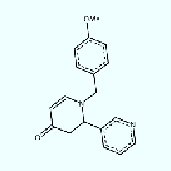 COc1ccc(CN2C=CC(=O)CC2c2cccnc2)cc1